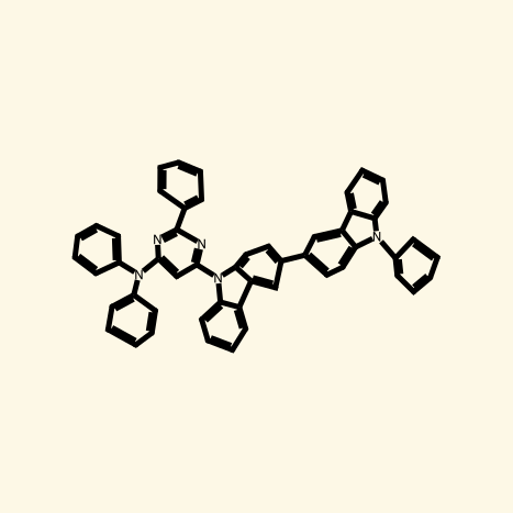 c1ccc(-c2nc(N(c3ccccc3)c3ccccc3)cc(-n3c4ccccc4c4cc(-c5ccc6c(c5)c5ccccc5n6-c5ccccc5)ccc43)n2)cc1